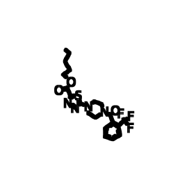 CCCCCOC(=O)c1nnc(N2CCN(C(=O)c3ccccc3C(F)(F)F)CC2)s1